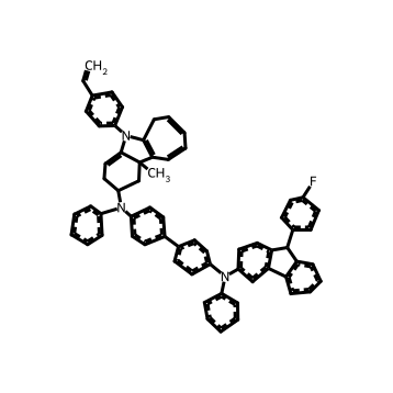 C=Cc1ccc(N2C3=CCC(N(c4ccccc4)c4ccc(-c5ccc(N(c6ccccc6)c6ccc7c(c6)-c6ccccc6C7c6ccc(F)cc6)cc5)cc4)CC3(C)C3=C2CC=CC=C3)cc1